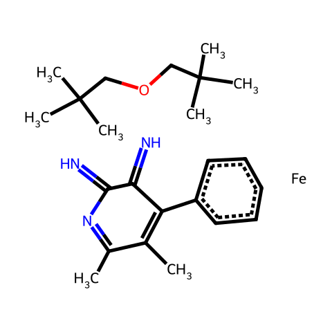 CC(C)(C)COCC(C)(C)C.CC1=NC(=N)C(=N)C(c2ccccc2)=C1C.[Fe]